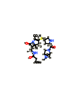 CNCC(=O)N[C@H](C)[C@H]1C(=O)N2C(C(=O)O)=C(S[C@@H]3CN[C@H](C(=O)N4CC5CC4CN5C)C3)[C@H](C)[C@H]12